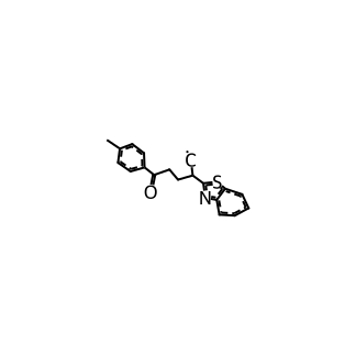 CCC(CCC(=O)c1ccc(C)cc1)c1nc2ccccc2s1